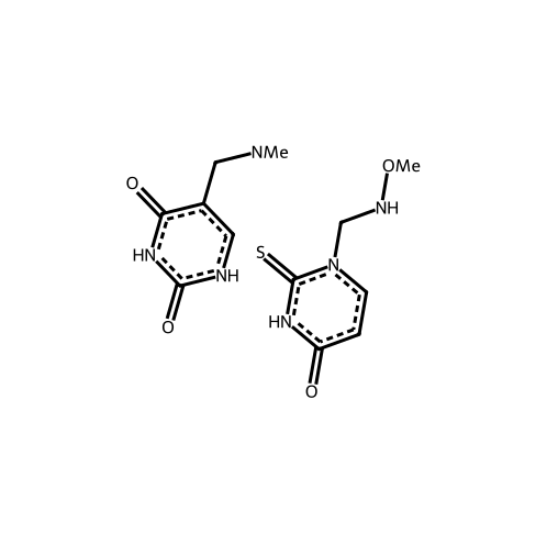 CNCc1c[nH]c(=O)[nH]c1=O.CONCn1ccc(=O)[nH]c1=S